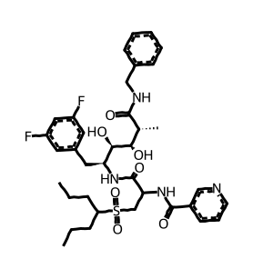 CCCC(CCC)S(=O)(=O)CC(NC(=O)c1cccnc1)C(=O)N[C@@H](Cc1cc(F)cc(F)c1)[C@@H](O)[C@H](O)[C@@H](C)C(=O)NCc1ccccc1